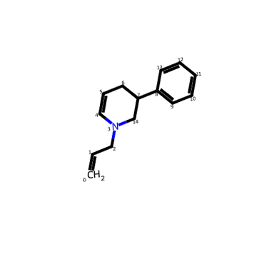 C=CCN1C=CCC(c2ccccc2)C1